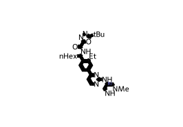 CCCCCCC(NC(=O)c1nnc(C(C)(C)C)o1)c1ccc(-c2ccnc(N/C(C=N)=C/NC)n2)cc1CC